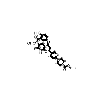 Cc1ccc(OCCCc2ccc(N3CCN(C(=O)OC(C)(C)C)CC3)nc2)cc1C(=O)N(C=O)C1CCC(=O)NC1=O